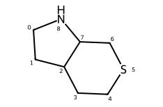 C1CC2CCSCC2N1